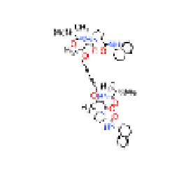 CN[C@@H](C)C(=O)N[C@H](C(=O)N1CCC[C@H]1C(=O)N[C@@H]1CCCc2ccccc21)C(C)OCC#CC#CCOC(C)[C@H](NC(=O)[C@H](C)NC)C(=O)N1CCC[C@H]1C(=O)N[C@@H]1CCCc2ccccc21